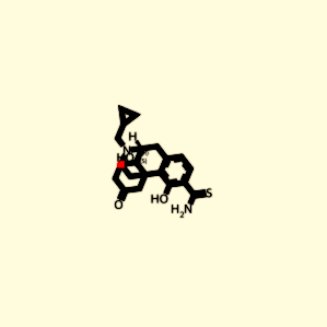 NC(=S)c1ccc2c(c1O)C13CCN(CC4CC4)[C@H](C2)[C@]1(O)CCC(=O)C3